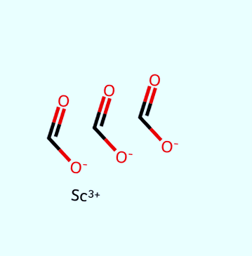 O=C[O-].O=C[O-].O=C[O-].[Sc+3]